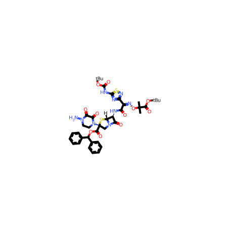 CC(C)(C)OC(=O)Nc1nc(/C(=N/OC(C)(C)C(=O)OC(C)(C)C)C(=O)N[C@@H]2C(=O)N3C[C@@](C(=O)OC(c4ccccc4)c4ccccc4)(N4CCN(N)C(=O)C4=O)S[C@H]23)ns1